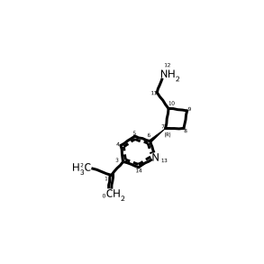 C=C(C)c1ccc([C@@H]2CCC2CN)nc1